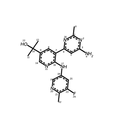 Cc1nc(N)cc(-c2cc(C(C)(C)O)cnc2Nc2cnc(C)c(F)c2)n1